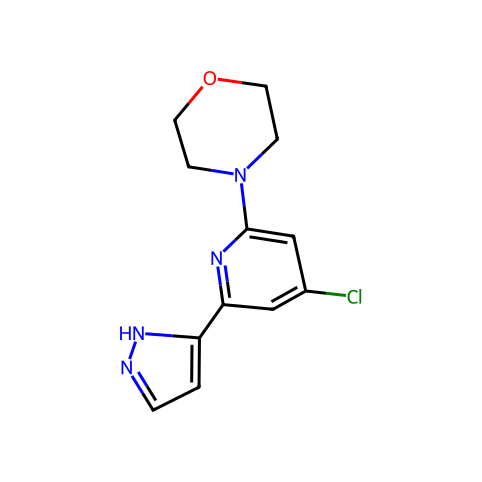 Clc1cc(-c2ccn[nH]2)nc(N2CCOCC2)c1